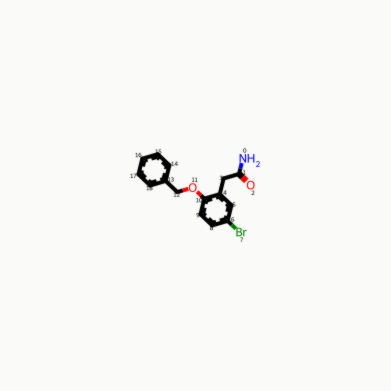 NC(=O)Cc1cc(Br)ccc1OCc1ccccc1